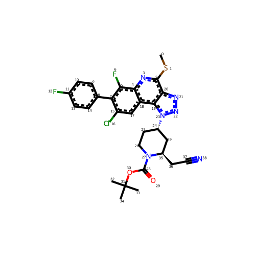 CSc1nc2c(F)c(-c3ccc(F)cc3)c(Cl)cc2c2c1nnn2[C@H]1CCN(C(=O)OC(C)(C)C)[C@H](CC#N)C1